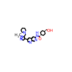 Cn1ncc(-c2cnc3cnc(NC(=O)[C@H]4CC[C@H](CO)CC4)cc3c2)c1CN1CCCCC1